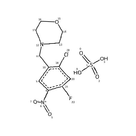 O=S(=O)(O)O.O=[N+]([O-])c1cc(CN2CCOCC2)c(Cl)cc1F